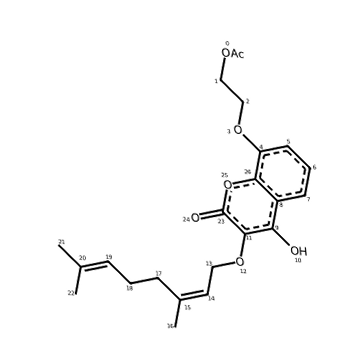 CC(=O)OCCOc1cccc2c(O)c(OCC=C(C)CCC=C(C)C)c(=O)oc12